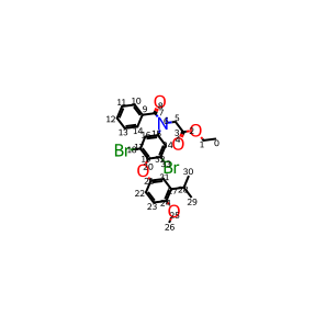 CCOC(=O)CN(C(=O)c1ccccc1)c1cc(Br)c(Oc2ccc(OC)c(C(C)C)c2)c(Br)c1